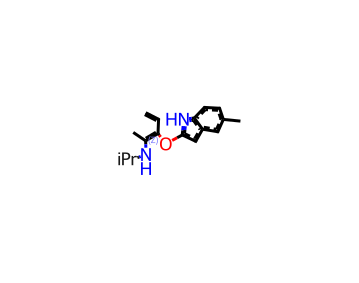 C=C/C(Oc1cc2cc(C)ccc2[nH]1)=C(\C)NC(C)C